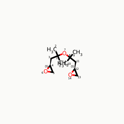 CC(C)(C[C@H]1CO1)OC(C)(C)C[C@H]1CO1